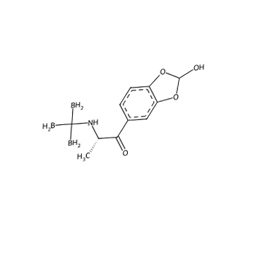 BC(B)(B)N[C@@H](C)C(=O)c1ccc2c(c1)OC(O)O2